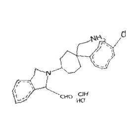 Cl.Cl.NCC1(c2cccc(Cl)c2)CCC(N2Cc3ccccc3C2C=O)CC1